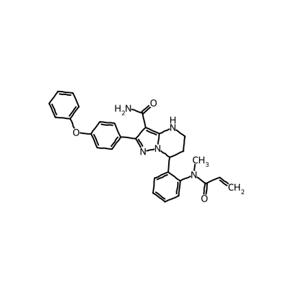 C=CC(=O)N(C)c1ccccc1C1CCNc2c(C(N)=O)c(-c3ccc(Oc4ccccc4)cc3)nn21